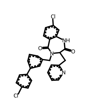 O=C1Nc2cc(Cl)ccc2C(=O)N(Cc2cccc(-c3ccc(Cl)cc3)c2)C1Cc1ccccn1